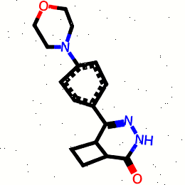 O=C1NN=C(c2ccc(N3CCOCC3)cc2)C2CCC12